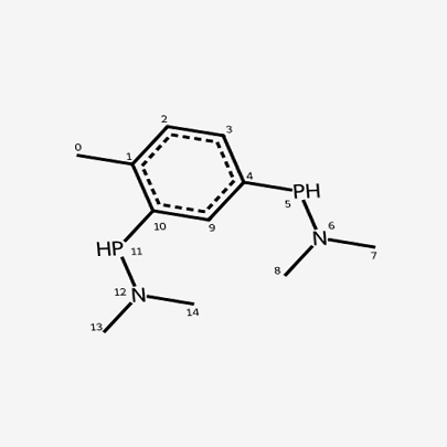 Cc1ccc(PN(C)C)cc1PN(C)C